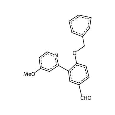 COc1ccnc(-c2cc(C=O)ccc2OCc2ccccc2)c1